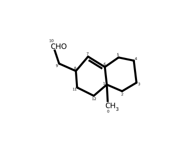 CC12CCCCC1=CC(CC=O)CC2